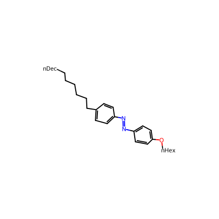 CCCCCCCCCCCCCCCCc1ccc(N=Nc2ccc(OCCCCCC)cc2)cc1